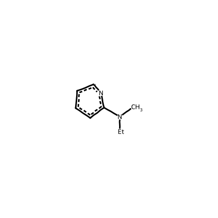 CCN(C)c1ccc[c]n1